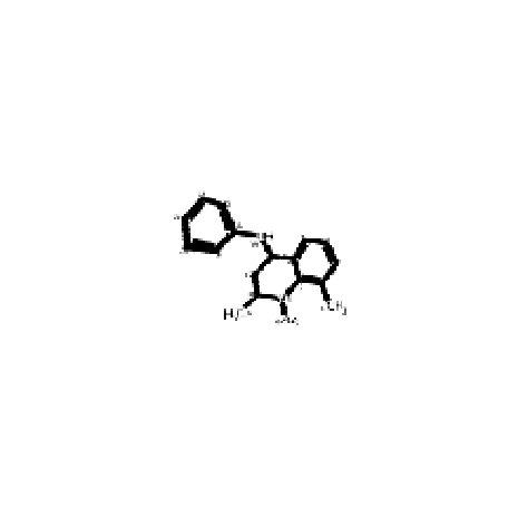 CC(=O)N1c2c(C)cccc2C(Nc2ccccc2)CC1C